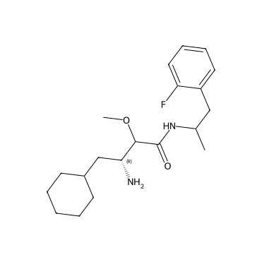 COC(C(=O)NC(C)Cc1ccccc1F)[C@H](N)CC1CCCCC1